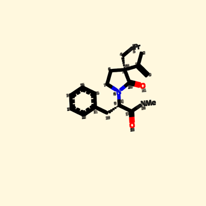 C=C(C)[C@]1(CC(C)C)CCN([C@@H](Cc2ccccc2)C(=O)NC)C1=O